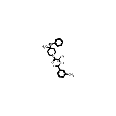 Cc1cccc(C(=O)N[C@@H](C(=O)N2CCC(C)(Nc3ccccc3)CC2)C(C)C)c1